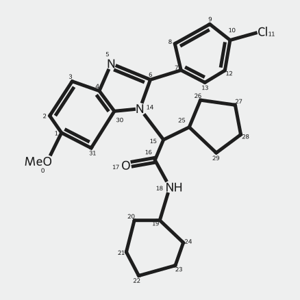 COc1ccc2nc(-c3ccc(Cl)cc3)n(C(C(=O)NC3CCCCC3)C3CCCC3)c2c1